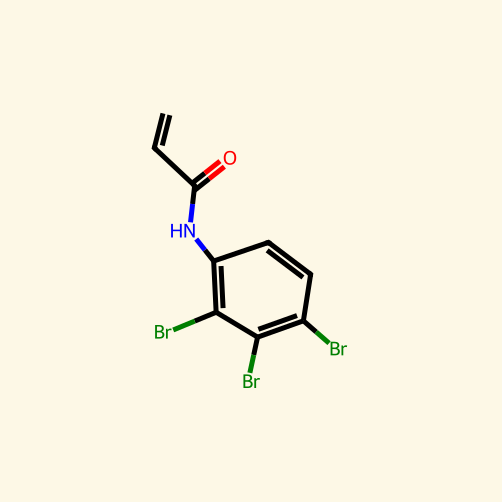 C=CC(=O)Nc1ccc(Br)c(Br)c1Br